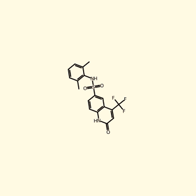 Cc1cccc(C)c1NS(=O)(=O)c1ccc2[nH]c(=O)cc(C(F)(F)F)c2c1